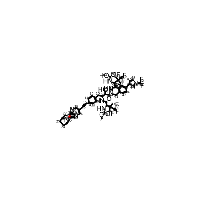 COC(=O)NC(C(=O)NC(Cc1ccc(C#Cc2cnc(N3CC4CCC(C3)N4C3COC3)nc2)cc1)C(O)CN(Cc1ccc(-c2ccn(C(F)F)n2)cc1F)NC(=O)C(NC(=O)O)C(C)(C)C(F)(F)F)C(C)(C)C(F)(F)F